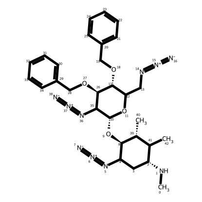 CN[C@@H]1CC(N=[N+]=[N-])[C@@H](O[C@H]2OC(CN=[N+]=[N-])[C@@H](OCc3ccccc3)[C@H](OCc3ccccc3)C2N=[N+]=[N-])[C@H](C)C1C